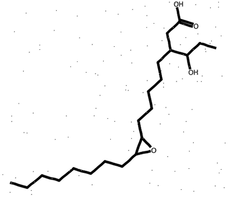 CCCCCCCCC1OC1CCCCCC(CC(=O)O)C(O)CC